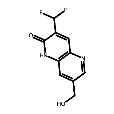 O=c1[nH]c2cc(CO)cnc2cc1C(F)F